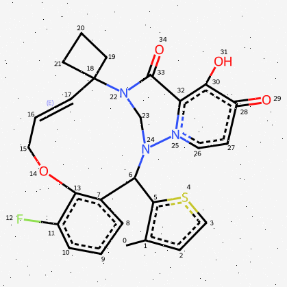 Cc1ccsc1C1c2cccc(F)c2OC/C=C/C2(CCC2)N2CN1n1ccc(=O)c(O)c1C2=O